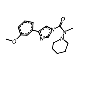 COc1cccc(-c2cn(C(=O)N(C)N3CCCCC3)cn2)c1